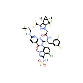 Cn1nc(NS(C)(=O)=O)c2c(Cl)ccc(-n3c([C@H](Cc4cc(F)cc(F)c4)NC(=O)Cn4nc(C(F)F)c5c4C(F)(F)[C@@H]4C[C@H]54)nc4nc(NCCC(C)(F)F)ccc4c3=O)c21